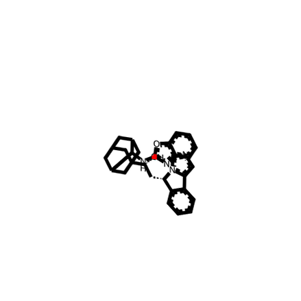 O[C@H](C[C@H]1c2ccccc2-c2cncn21)C12CC3CC(C1)C(Nc1nc4ccccc4o1)C(C3)C2